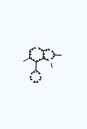 CCCCCn1c(O)nc2ncc(Cl)c(-c3nn[nH]n3)c21